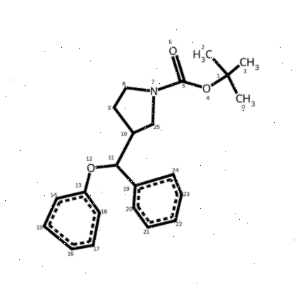 CC(C)(C)OC(=O)N1CCC(C(Oc2ccccc2)c2ccccc2)C1